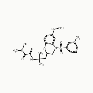 CN(C)C(=O)C(=O)NC(C)(C)CC1CN(S(=O)(=O)c2cccc(C(F)(F)F)c2)c2cc(NC(=O)O)ccc2O1